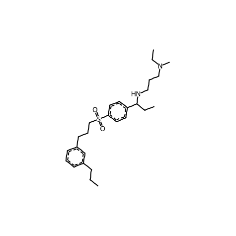 CCCc1cccc(CCCS(=O)(=O)c2ccc(C(CC)NCCCN(C)CC)cc2)c1